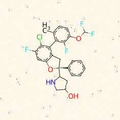 Cc1ccc(OC(F)F)c(F)c1-c1c(Cl)c(F)cc2c1C[C@](c1ccccc1)(C1CC(O)CN1)O2